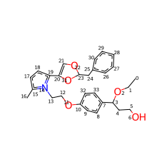 CCOC(CCO)c1ccc(OCCn2c(C)ccc2C2=COC(Cc3ccccc3)O2)cc1